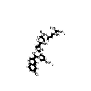 CNC(=O)[C@H](CCCCNC(=N)N)NC(=O)c1csc([C@@H]2C[C@@H](N)CN2C(=O)c2cnc3ccc(Cl)cc3c2)n1